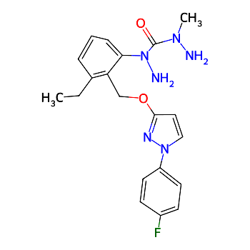 CCc1cccc(N(N)C(=O)N(C)N)c1COc1ccn(-c2ccc(F)cc2)n1